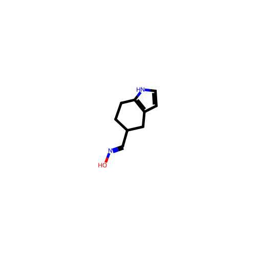 ON=CC1CCc2[nH]ccc2C1